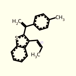 C=C(c1ccc(C)cc1)c1sc2ccccc2c1/C=C\C